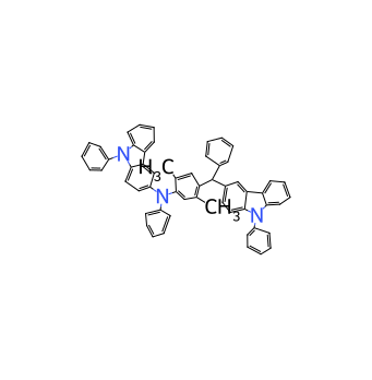 Cc1cc(N(c2ccccc2)c2ccc3c(c2)c2ccccc2n3-c2ccccc2)c(C)cc1C(c1ccccc1)c1ccc2c(c1)c1ccccc1n2-c1ccccc1